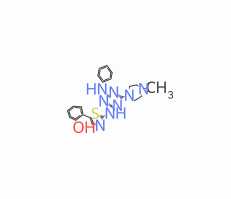 CN1CCN(c2nc(Nc3ccccc3)nc(Nc3ncc(-c4ccccc4O)s3)n2)CC1